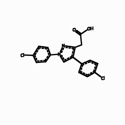 O=C(O)Cc1nn(-c2ccc(Cl)cc2)cc1-c1ccc(Cl)cc1